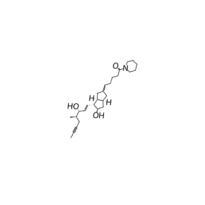 CC#CC[C@@H](C)[C@H](O)/C=C/[C@@H]1[C@H]2C/C(=C/CCCC(=O)N3CCCCC3)C[C@H]2C[C@H]1O